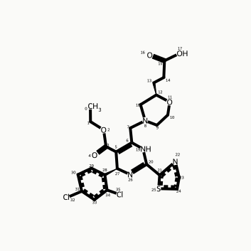 CCOC(=O)C1=C(CN2CCO[C@H](CCC(=O)O)C2)NC(c2nccs2)=N[C@H]1c1ccc(Cl)cc1Cl